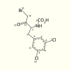 O=C(O)NC(Cc1cc(Cl)cc(Cl)c1)C(=O)CBr